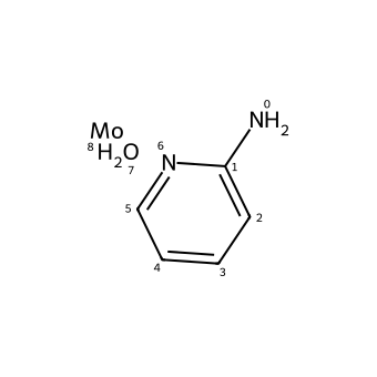 Nc1ccccn1.O.[Mo]